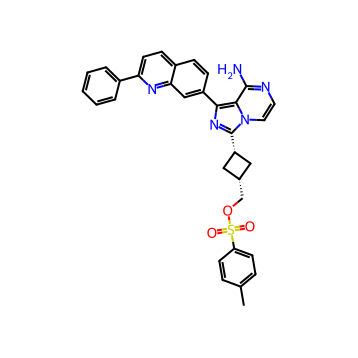 Cc1ccc(S(=O)(=O)OC[C@H]2C[C@@H](c3nc(-c4ccc5ccc(-c6ccccc6)nc5c4)c4c(N)nccn43)C2)cc1